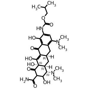 CC(C)COC(=O)Nc1cc(N(C)C)c2c(c1O)C(=O)C1=C(O)[C@]3(O)C(=O)C(C(N)=O)C(O)[C@@H](N(C)C)[C@@H]3C[C@@H]1C2